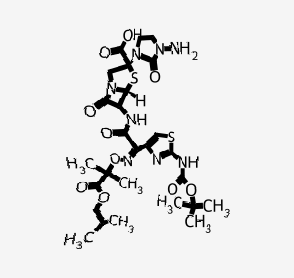 CC(C)COC(=O)C(C)(C)O/N=C(\C(=O)NC1C(=O)N2C[C@@](C(=O)O)(N3CCN(N)C3=O)S[C@H]12)c1csc(NC(=O)OC(C)(C)C)n1